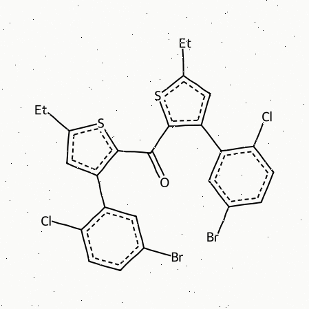 CCc1cc(-c2cc(Br)ccc2Cl)c(C(=O)c2sc(CC)cc2-c2cc(Br)ccc2Cl)s1